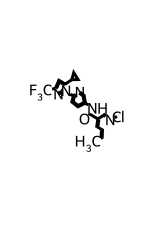 C/C=C\C=C(/C=NCl)C(=O)Nc1ccc(-n2nc(C(F)(F)F)cc2C2CC2)nc1